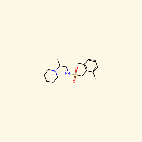 Cc1cccc(C)c1CS(=O)(=O)NCC(C)N1CCCCC1